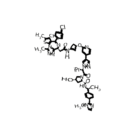 Cc1sc2c(c1C)C(c1ccc(Cl)cc1)=N[C@@H](CC(=O)N[C@H]1C[C@@H](Oc3cc(-c4cnn([C@@H](C(=O)N5C[C@H](O)C[C@H]5C(=O)N[C@@H](C)c5ccc(-c6nccn6C)cc5)C(C)C)c4)ccn3)C1)c1nnc(C)n1-2